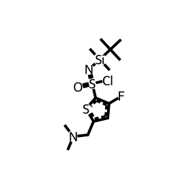 CN(C)Cc1cc(F)c(S(=O)(Cl)=N[Si](C)(C)C(C)(C)C)s1